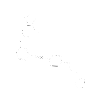 CC(C)(C)c1conc1NC(=O)Nc1cccc(C#Cc2cnc(NCCN3CCCC3)nc2)c1